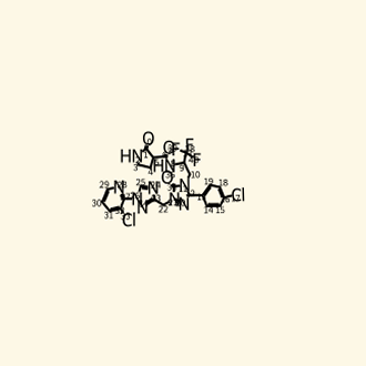 O=C1NCCC1C(=O)NC(Cn1c(-c2ccc(Cl)cc2)nn(Cc2ncn(-c3ncccc3Cl)n2)c1=O)C(F)(F)F